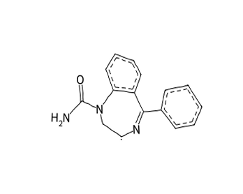 NC(=O)N1C[CH]N=C(c2ccccc2)c2ccccc21